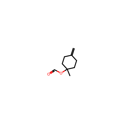 C=C1CCC(C)(OC=O)CC1